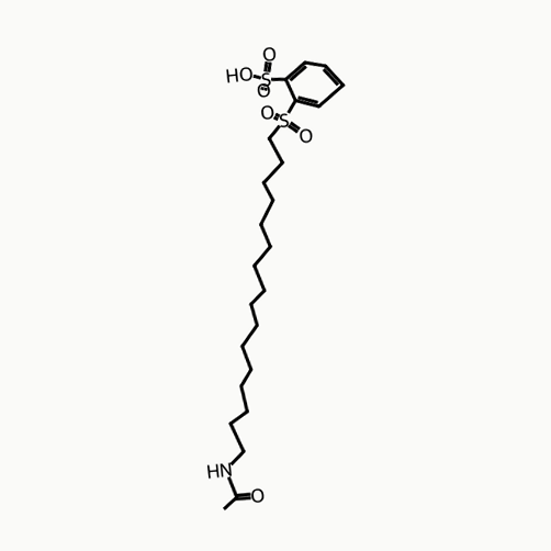 CC(=O)NCCCCCCCCCCCCCCCCS(=O)(=O)c1ccccc1S(=O)(=O)O